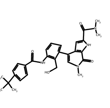 CN(C)C(=O)c1cc2c(-c3cccc(NC(=O)c4ccc(C(C)(C)C)cc4)c3CO)cn(C)c(=O)c2[nH]1